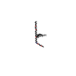 CCCCCCCC/C=C\CCCCCCC(CCCCCCCCCCCCCCCC)C(=O)OC(O)CC.[NaH]